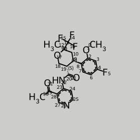 COc1cc(F)ccc1[C@@H]1C[C@](C)(C(F)(F)F)OC[C@H]1C(=O)Nc1ccncc1C(C)=O